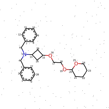 c1ccc(CN(Cc2ccccc2)C2CC(OCCOC3CCCCO3)C2)cc1